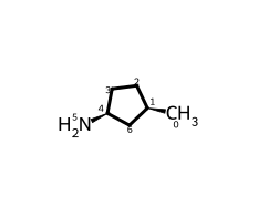 C[C@@H]1CC[C@H](N)C1